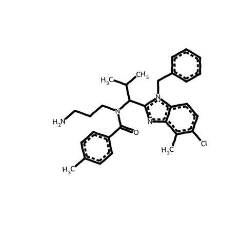 Cc1ccc(C(=O)N(CCCN)C(c2nc3c(C)c(Cl)ccc3n2Cc2ccccc2)C(C)C)cc1